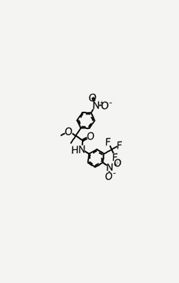 COC(C)(C(=O)Nc1ccc([N+](=O)[O-])c(C(F)(F)F)c1)c1ccc([N+](=O)[O-])cc1